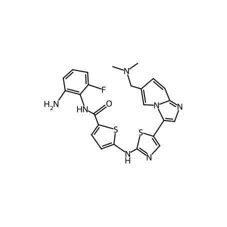 CN(C)Cc1ccc2ncc(-c3cnc(Nc4ccc(C(=O)Nc5c(N)cccc5F)s4)s3)n2c1